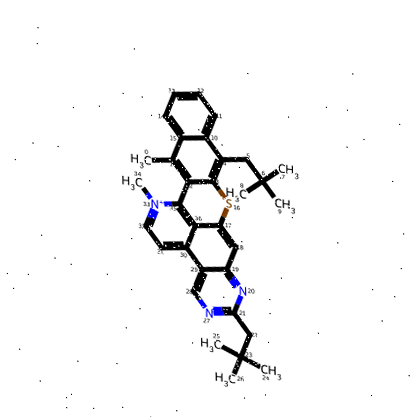 Cc1c2c(c(CC(C)(C)C)c3ccccc13)Sc1cc3nc(CC(C)(C)C)ncc3c3cc[n+](C)c-2c13